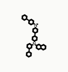 CN(c1ccc(-c2ccccc2)cc1)c1ccc(-c2ccc(N(c3cccc(-c4ccccc4)c3)c3ccc4ccccc4c3)cc2)cc1